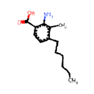 CCCCCCc1ccc(C(=O)O)c(N)c1C